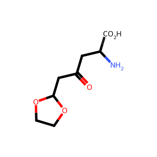 NC(CC(=O)CC1OCCO1)C(=O)O